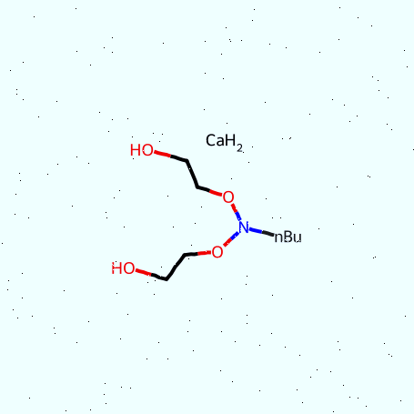 CCCCN(OCCO)OCCO.[CaH2]